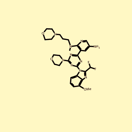 COc1cccc2c1nc(C(F)F)n2-c1nc(-c2cc(N)cnc2N(C)CCCN2CCOCC2)nc(N2CCOCC2)n1